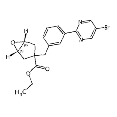 CCOC(=O)C1(Cc2cccc(-c3ncc(Br)cn3)c2)C[C@@H]2O[C@@H]2C1